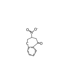 O=C1CC([N+](=O)[O-])CCc2ccccc21